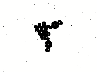 CCC(C)[C@H]1C(=O)N(CCc2ccc(OC)cc2)C[C@H]2N1C(=O)CN(C)N2C(=O)NCc1ccc(OC)cc1